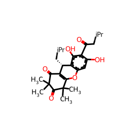 CC(C)CC(=O)c1c(O)cc2c(c1O)[C@@H](CC(C)C)C1=C(O2)C(C)(C)C(=O)C(C)(C)C1=O